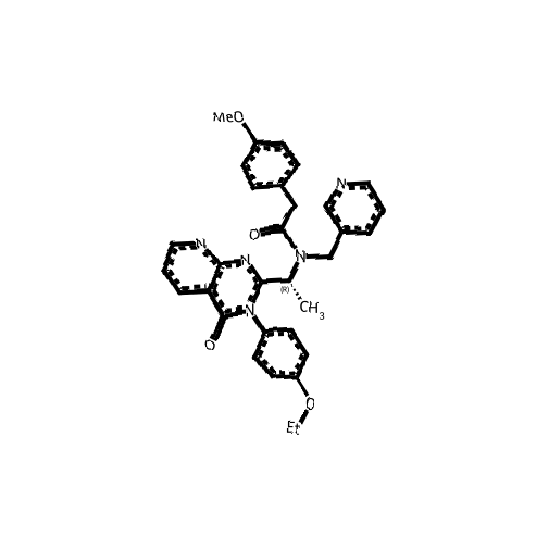 CCOc1ccc(-n2c([C@@H](C)N(Cc3cccnc3)C(=O)Cc3ccc(OC)cc3)nc3ncccc3c2=O)cc1